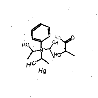 CC(O)C(=O)O.CC(O)[N+](c1ccccc1)(C(C)O)C(C)O.[Hg]